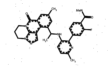 CNC(=O)c1ccc(-c2nc(C)ccc2NC(C)c2cc(C)cc3c(=O)n4c5c(cnn5CCC4)c23)cc1F